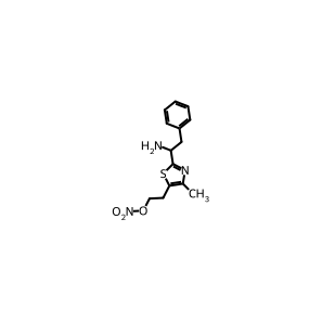 Cc1nc(C(N)Cc2ccccc2)sc1CCO[N+](=O)[O-]